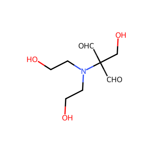 O=CC(C=O)(CO)N(CCO)CCO